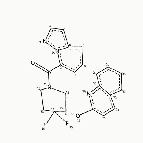 O=C(c1cccc2ccnn12)N1CCC(F)(F)[C@@H](Oc2ccc3ccccc3n2)C1